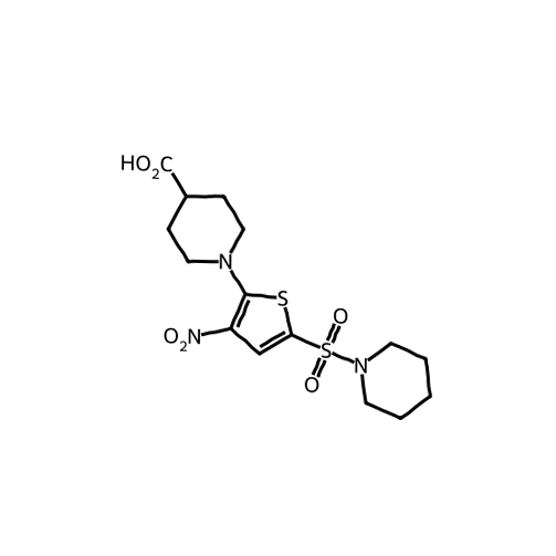 O=C(O)C1CCN(c2sc(S(=O)(=O)N3CCCCC3)cc2[N+](=O)[O-])CC1